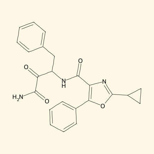 NC(=O)C(=O)C(Cc1ccccc1)NC(=O)c1nc(C2CC2)oc1-c1ccccc1